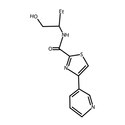 CCC(CO)NC(=O)c1nc(-c2cccnc2)cs1